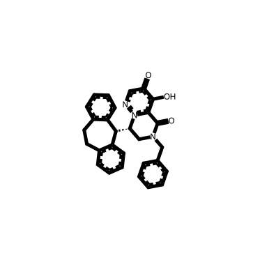 O=C1c2c(O)c(=O)cnn2[C@@H](C2c3ccccc3CCc3ccccc32)CN1Cc1ccccc1